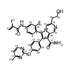 C=C(F)C(=O)Nc1ccc(-c2c(-c3ccc(Oc4nccc(C)n4)cc3)c(C(N)=O)c3cnc(CCO)cn23)c(F)c1